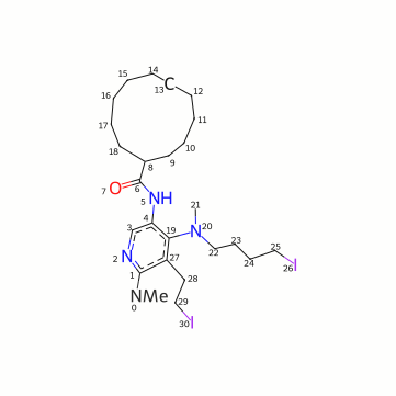 CNc1ncc(NC(=O)C2CCCCCCCCCC2)c(N(C)CCCCI)c1CCI